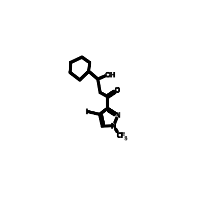 O=C(CC(O)C1CCCCC1)c1nn(C(F)(F)F)cc1I